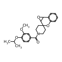 COc1cc(C(=O)N2CCC3(CC2)Oc2ccccc2C2OC23)ccc1OC(C)C